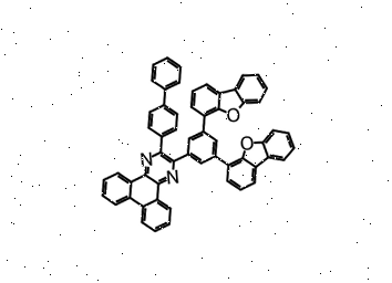 c1ccc(-c2ccc(-c3nc4c5ccccc5c5ccccc5c4nc3-c3cc(-c4cccc5c4oc4ccccc45)cc(-c4cccc5c4oc4ccccc45)c3)cc2)cc1